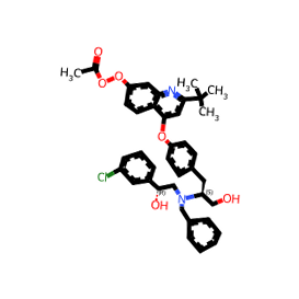 CC(=O)OOc1ccc2c(Oc3ccc(C[C@@H](CO)N(Cc4ccccc4)C[C@H](O)c4cccc(Cl)c4)cc3)cc(C(C)(C)C)nc2c1